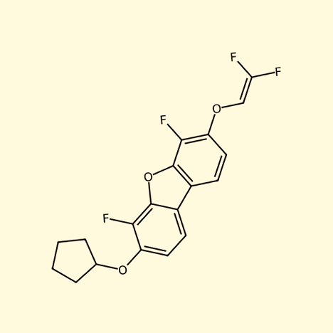 FC(F)=COc1ccc2c(oc3c(F)c(OC4CCCC4)ccc32)c1F